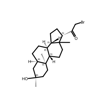 CC12CC[C@H]3[C@@H](CC[C@@H]4C[C@](C)(O)CC[C@@]43C)[C@@H]1CC[C@@H]2C(=O)CBr